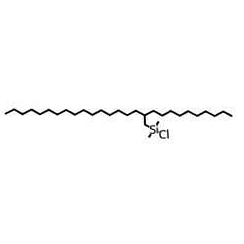 CCCCCCCCCCCCCCCCC(CCCCCCCCCC)C[Si](C)(C)Cl